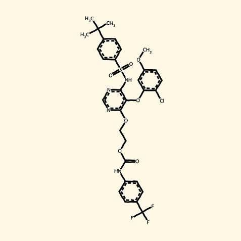 COc1ccc(Cl)c(Oc2c(NS(=O)(=O)c3ccc(C(C)(C)C)cc3)ncnc2OCCOC(=O)Nc2ccc(C(F)(F)F)cc2)c1